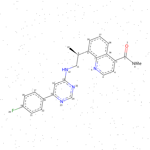 CNC(=O)c1ccnc2c([C@H](C)CNc3cc(-c4ccc(F)cc4)ncn3)cccc12